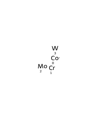 [Co].[Cr].[Mo].[W]